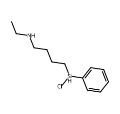 CCNCCCC[SiH](Cl)c1ccccc1